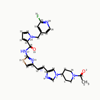 CC(=O)N1CCC(n2cnc(/C=C/c3csc(NC(=O)c4cccn4Cc4ccnc(F)c4)n3)c2)CC1